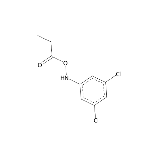 CCC(=O)ONc1cc(Cl)cc(Cl)c1